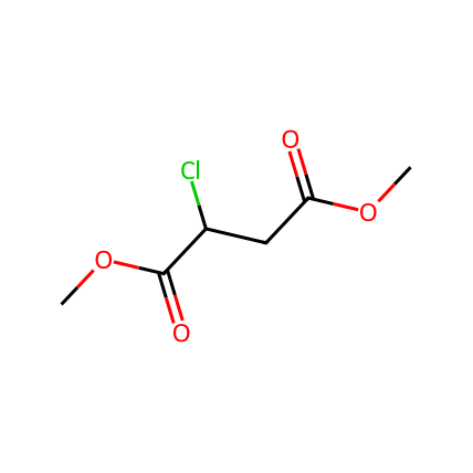 COC(=O)CC(Cl)C(=O)OC